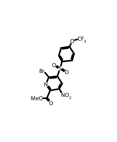 COC(=O)c1nc(Br)c(S(=O)(=O)c2ccc(OC(F)(F)F)cc2)cc1[N+](=O)[O-]